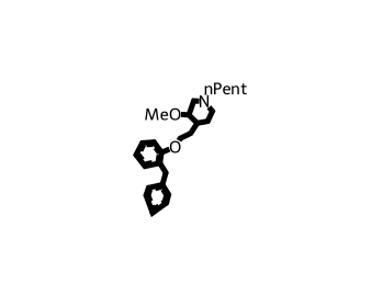 CCCCCN1CCC(CCOc2ccccc2Cc2ccccc2)C(OC)C1